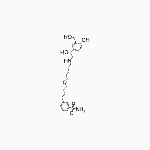 NS(=O)(=O)c1cccc(CCCCOCCCCCNC[C@H](O)c2ccc(O)c(CO)c2)c1